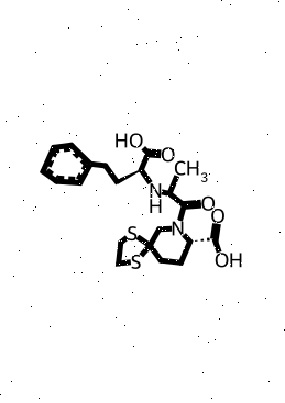 CC(N[C@@H](CCc1ccccc1)C(=O)O)C(=O)N1CC2(CC[C@H]1C(=O)O)SCCS2